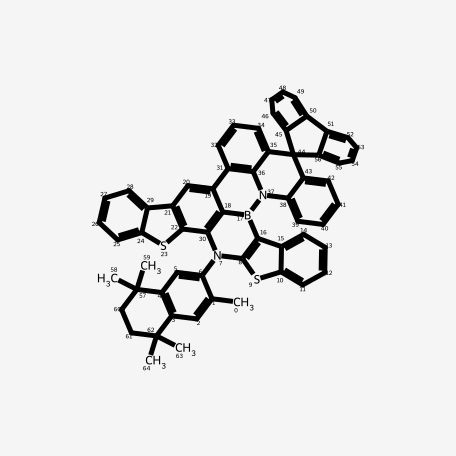 Cc1cc2c(cc1N1c3sc4ccccc4c3B3c4c(cc5c(sc6ccccc65)c41)-c1cccc4c1N3c1ccccc1C41c3ccccc3-c3ccccc31)C(C)(C)CCC2(C)C